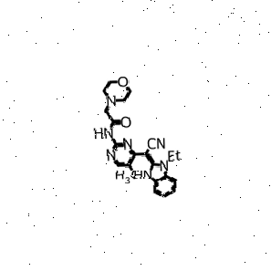 CCN1/C(=C(\C#N)c2nc(NC(=O)CN3CCOCC3)ncc2C)Nc2ccccc21